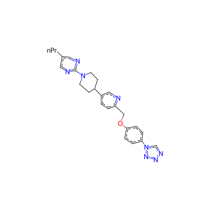 CCCc1cnc(N2CCC(c3ccc(COc4ccc(-n5cnnn5)cc4)nc3)CC2)nc1